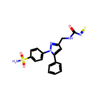 NS(=O)(=O)c1ccc(-n2nc(CNC(=O)N=S)cc2-c2ccccc2)cc1